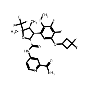 COc1c([C@H]2[C@H](C(=O)Nc3ccnc(C(N)=O)c3)O[C@@](C)(C(F)(F)F)[C@H]2C)cc(OC2CC(F)(F)C2)c(F)c1F